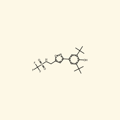 CC(C)(C)c1cc(-c2cc(CNS(=O)(=O)C(F)(F)F)on2)cc(C(C)(C)C)c1O